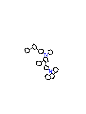 C1=CC2C=Cc3c(n(-c4cccc(-c5ccc(N(c6ccccc6)c6ccc(-c7cccc(-c8ccccc8)c7)cc6)cc5-c5ccccc5)c4)c4ccccc34)C2C=C1